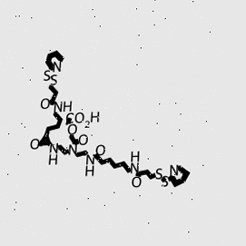 O=C(O)COCC(=O)N(CCNC(=O)CCCCCNC(=O)CCSSc1ccccn1)CCNC1C(=O)C1CCCCNC(=O)CCSSc1ccccn1